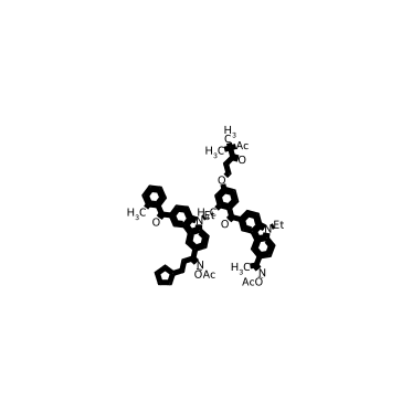 CCn1c2ccc(C(=O)c3ccc(OCCC(=O)C(C)(C)C(C)=O)cc3C)cc2c2cc(C(C)=NOC(C)=O)ccc21.CCn1c2ccc(C(=O)c3ccccc3C)cc2c2cc(C(CCC3CCCC3)=NOC(C)=O)ccc21